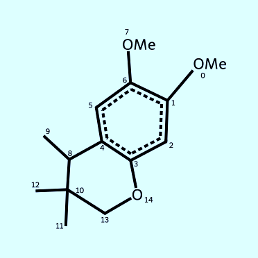 COc1cc2c(cc1OC)C(C)C(C)(C)CO2